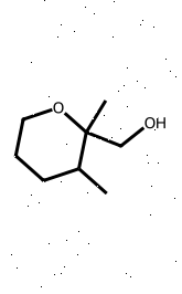 CC1CCCOC1(C)CO